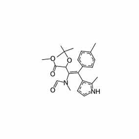 COC(=O)C(OC(C)(C)C)/C(=C(\c1ccc(C)cc1)c1cc[nH]c1C)N(C)C=O